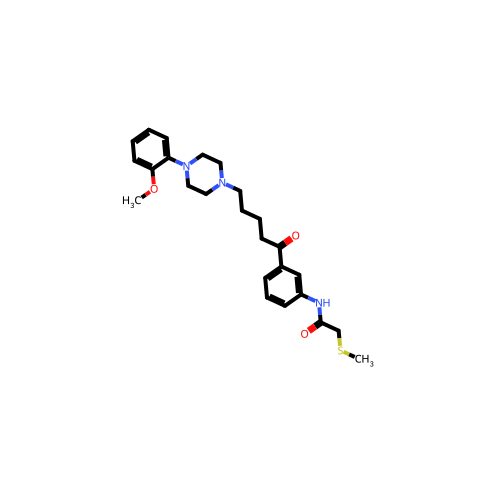 COc1ccccc1N1CCN(CCCCC(=O)c2cccc(NC(=O)CSC)c2)CC1